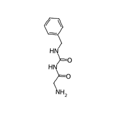 NCC(=O)NC(=O)NCc1ccccc1